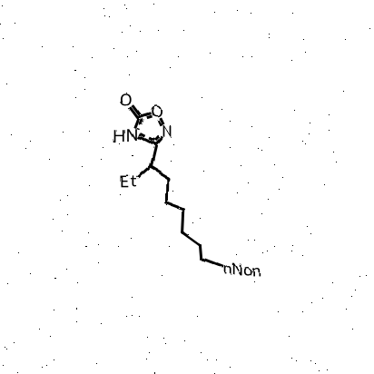 CCCCCCCCCCCCCCCC(CC)c1noc(=O)[nH]1